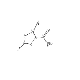 CCN1CC(F)C[C@H]1C(=O)C(C)(C)C